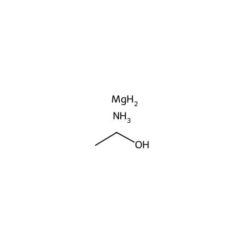 CCO.N.[MgH2]